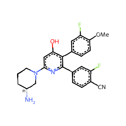 COc1ccc(-c2c(O)cc(N3CCC[C@@H](N)C3)nc2-c2ccc(C#N)c(F)c2)cc1F